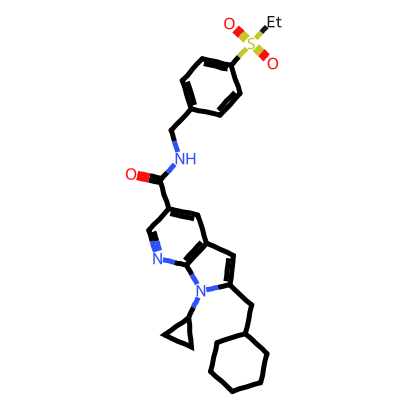 CCS(=O)(=O)c1ccc(CNC(=O)c2cnc3c(c2)cc(CC2CCCCC2)n3C2CC2)cc1